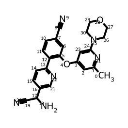 Cc1cc(Oc2cc(C#N)ccc2-c2ccc(C(N)C#N)cn2)cc(N2CCOCC2)n1